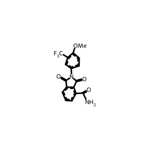 COc1ccc(N2C(=O)c3cccc(C(N)=O)c3C2=O)cc1C(F)(F)F